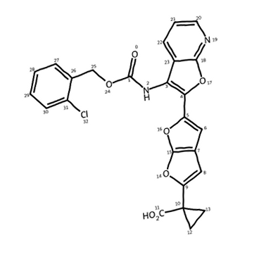 O=C(Nc1c(-c2cc3cc(C4(C(=O)O)CC4)oc3o2)oc2ncccc12)OCc1ccccc1Cl